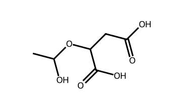 CC(O)OC(CC(=O)O)C(=O)O